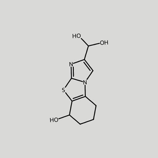 OC(O)c1cn2c3c(sc2n1)C(O)CCC3